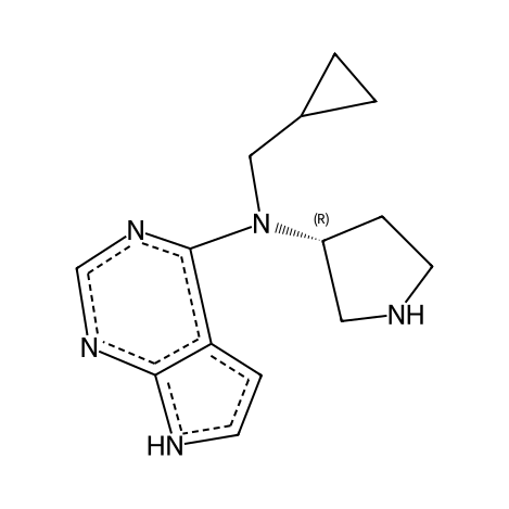 c1nc(N(CC2CC2)[C@@H]2CCNC2)c2cc[nH]c2n1